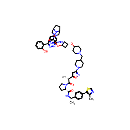 Cc1ncsc1-c1ccc([C@H](C)NC(=O)[C@@H]2CCCN2C(=O)[C@@H](c2cc(N3CCC(CN4CCC(O[C@H]5C[C@H](Oc6cc(N7C8CCC7CN(c7cc(-c9ccccc9O)nnc7N)C8)ccn6)C5)CC4)CC3)no2)C(C)C)cc1